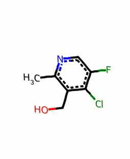 Cc1ncc(F)c(Cl)c1CO